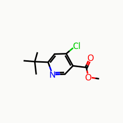 COC(=O)c1cnc(C(C)(C)C)cc1Cl